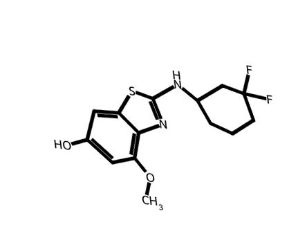 COc1cc(O)cc2sc(NC3CCCC(F)(F)C3)nc12